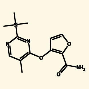 Cc1cnc([Si](C)(C)C)nc1Oc1ccoc1C(N)=O